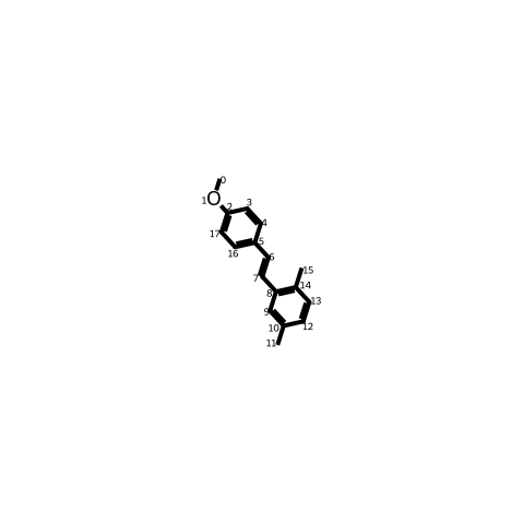 COc1ccc(C=Cc2cc(C)ccc2C)cc1